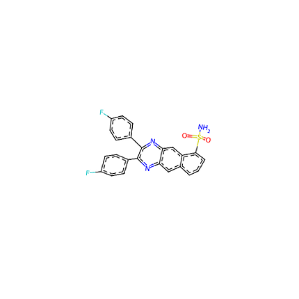 NS(=O)(=O)c1cccc2cc3nc(-c4ccc(F)cc4)c(-c4ccc(F)cc4)nc3cc12